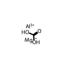 O=C(O)O.[Al+3].[Mg+2]